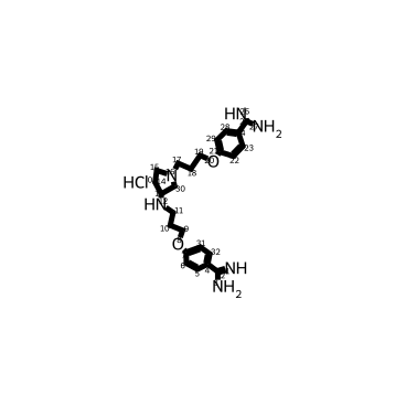 Cl.N=C(N)c1ccc(OCCCNC2CCN(CCCOc3ccc(C(=N)N)cc3)C2)cc1